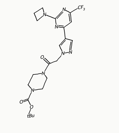 CC(C)(C)OC(=O)N1CCN(C(=O)Cn2cc(-c3cc(C(F)(F)F)nc(N4CCC4)n3)cn2)CC1